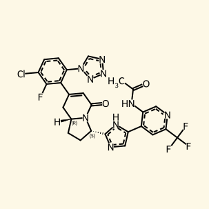 CC(=O)Nc1cnc(C(F)(F)F)cc1-c1cnc([C@@H]2CC[C@@H]3CC(c4c(-n5cnnn5)ccc(Cl)c4F)=CC(=O)N32)[nH]1